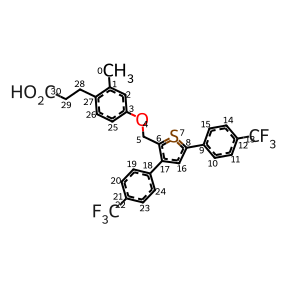 Cc1cc(OCc2sc(-c3ccc(C(F)(F)F)cc3)cc2-c2ccc(C(F)(F)F)cc2)ccc1CCC(=O)O